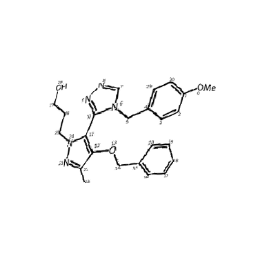 COc1ccc(Cn2cnnc2-c2c(OCc3ccccc3)c(C)nn2CCCO)cc1